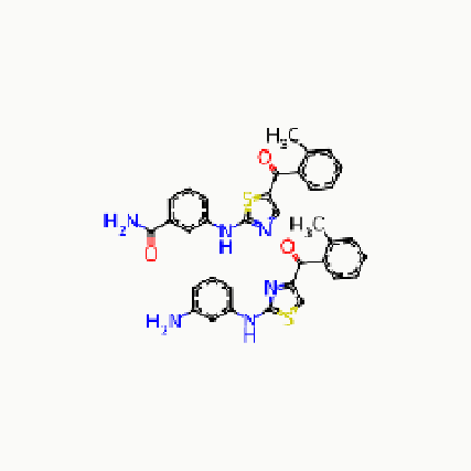 Cc1ccccc1C(=O)c1cnc(Nc2cccc(C(N)=O)c2)s1.Cc1ccccc1C(=O)c1csc(Nc2cccc(N)c2)n1